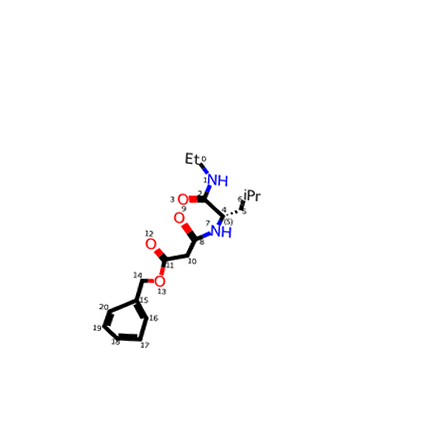 CCNC(=O)[C@H](CC(C)C)NC(=O)CC(=O)OCc1ccccc1